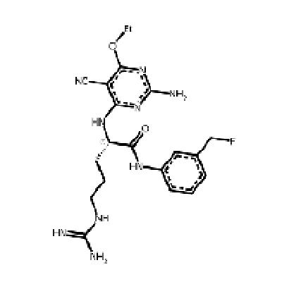 CCOc1nc(N)nc(N[C@@H](CCCNC(=N)N)C(=O)Nc2cccc(CF)c2)c1C#N